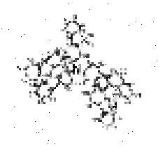 CC1(C)c2ccccc2-c2ccc(N(c3ccc(-c4ccc5ccccc5c4-c4cccc5c4oc4ccccc45)cc3)c3ccc4c(c3)C3(c5ccccc5-c5ccccc53)c3ccccc3-4)cc21